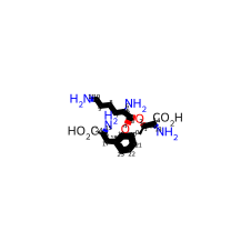 C[C@@H](OC(=O)[C@@H](N)CCCCN)[C@H](N)C(=O)O.N[C@@H](Cc1ccccc1)C(=O)O